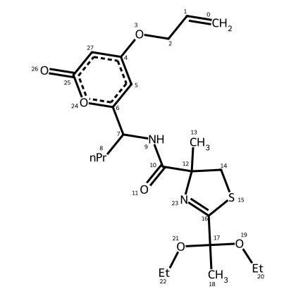 C=CCOc1cc(C(CCC)NC(=O)C2(C)CSC(C(C)(OCC)OCC)=N2)oc(=O)c1